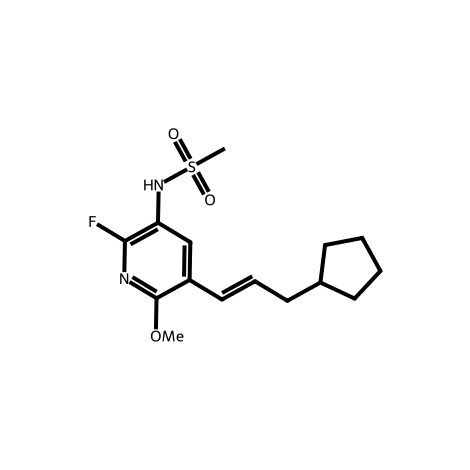 COc1nc(F)c(NS(C)(=O)=O)cc1C=CCC1CCCC1